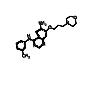 Cc1cccc(Nc2ncnc3cc(OCCCN4CCOCC4)c(N)cc23)c1